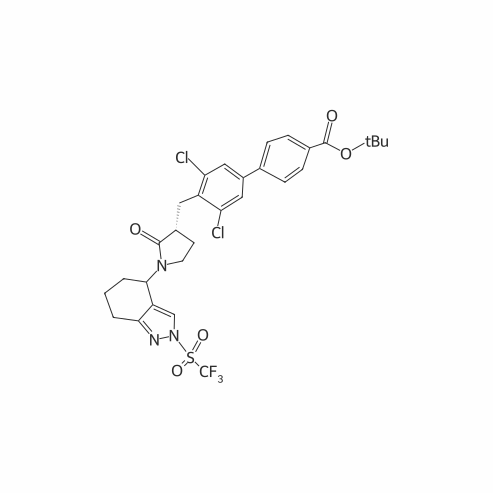 CC(C)(C)OC(=O)c1ccc(-c2cc(Cl)c(C[C@@H]3CCN(C4CCCc5nn(S(=O)(=O)C(F)(F)F)cc54)C3=O)c(Cl)c2)cc1